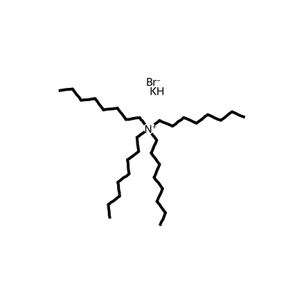 CCCCCCCC[N+](CCCCCCCC)(CCCCCCCC)CCCCCCCC.[Br-].[KH]